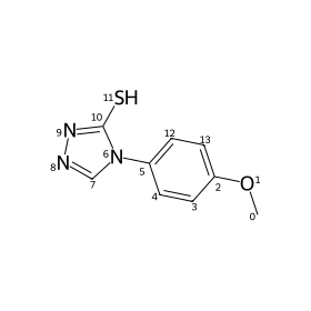 COc1ccc(-n2cnnc2S)cc1